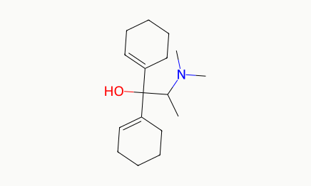 CC(N(C)C)C(O)(C1=CCCCC1)C1=CCCCC1